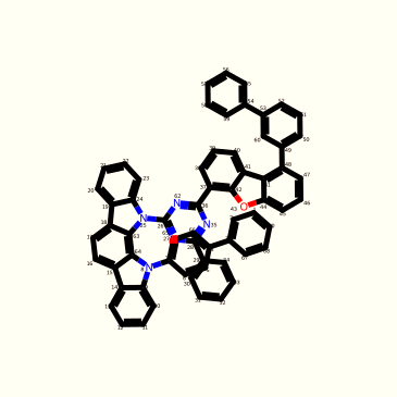 c1ccc(-c2ccc(-n3c4ccccc4c4ccc5c6ccccc6n(-c6nc(-c7ccccc7)nc(-c7cccc8c7oc7cccc(-c9cccc(-c%10ccccc%10)c9)c78)n6)c5c43)cc2)cc1